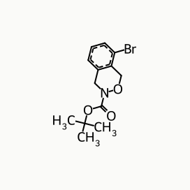 CC(C)(C)OC(=O)N1Cc2cccc(Br)c2CO1